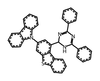 c1ccc(C2=NC(c3cc(-n4c5ccccc5c5ccccc54)cc4sc5ccccc5c34)NC(c3ccccc3)=N2)cc1